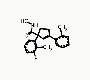 Cc1ccccc1C1=CC(C(=O)NO)(c2cccc(F)c2C)CC1